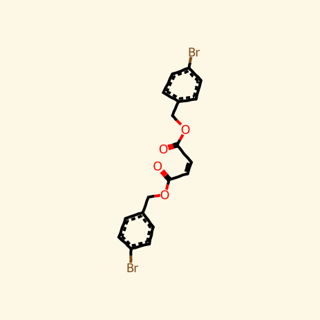 O=C(/C=C\C(=O)OCc1ccc(Br)cc1)OCc1ccc(Br)cc1